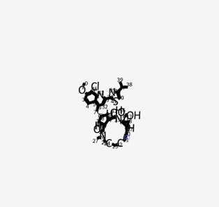 COc1ccc2c(C[C@@H]3C[C@H]4C(=O)N[C@]5(C(=O)O)C[C@H]5/C=C\CCCCN(C)C(=O)[C@@H]4C3)cc(-c3nc(C(C)C)cs3)nc2c1Cl